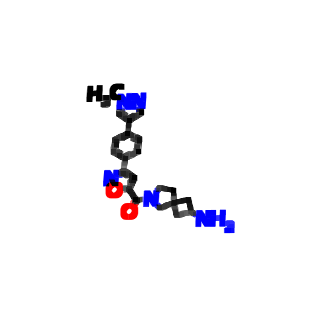 Cn1cc(-c2ccc(-c3cc(C(=O)N4CCC5(CC(N)C5)C4)on3)cc2)cn1